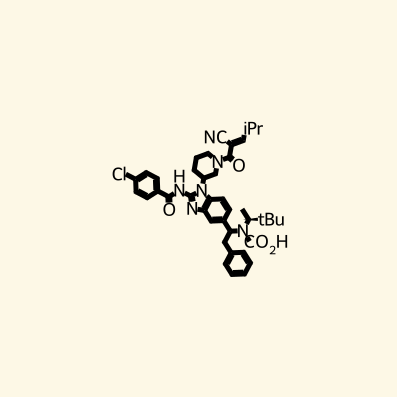 CC(C)/C=C(\C#N)C(=O)N1CCCC(n2c(NC(=O)c3ccc(Cl)cc3)nc3cc(C(Cc4ccccc4)N(C(=O)O)[C@@H](C)C(C)(C)C)ccc32)C1